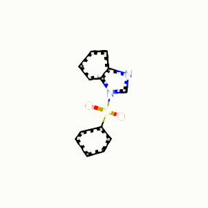 O=S(=O)(c1ccccc1)n1[c]nc2ccccc21